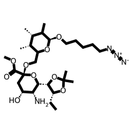 CC[C@H]1OC(C)(C)O[C@H]1C1O[C@@](OCC2O[C@H](OCCCCCN=[N+]=[N-])C(C)[C@@H](C)[C@H]2C)(C(=O)OC)C[C@@H](O)[C@H]1N